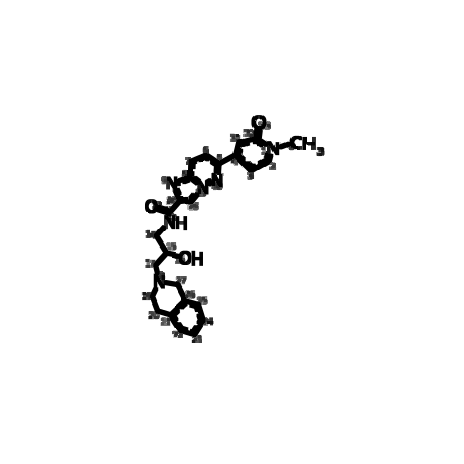 Cn1ccc(-c2ccc3nc(C(=O)NCC(O)CN4CCc5ccccc5C4)cn3n2)cc1=O